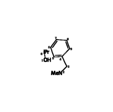 CC(C)O.CNCc1ccccc1